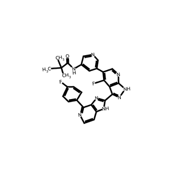 CC(C)(C)C(=O)Nc1cncc(-c2cnc3[nH]nc(-c4nc5c(-c6ccc(F)cc6)nccc5[nH]4)c3c2F)c1